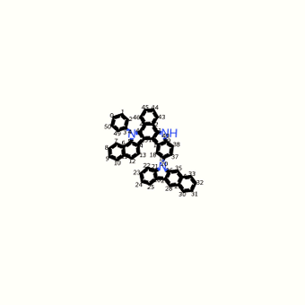 c1ccc(-n2c3c4ccccc4ccc3c3c4c5cc(-n6c7ccccc7c7cc8ccccc8cc76)ccc5[nH]c4c4ccccc4c32)cc1